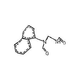 O=CNCN(C=O)c1cccc2ccccc12